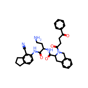 N#Cc1c(NC(=O)C(CCN)NC(=O)C2Cc3ccccc3CN2C(=O)CCC(=O)c2ccccc2)ccc2c1CCC2